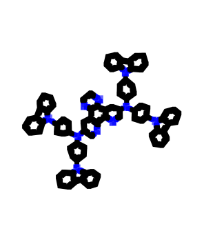 c1ccc2c(c1)c1ccccc1n2-c1ccc(N(c2ccc(-n3c4ccccc4c4ccccc43)cc2)c2cnc3c(c2)c2nccnc2c2cc(N(c4ccc(-n5c6ccccc6c6ccccc65)cc4)c4ccc(-n5c6ccccc6c6ccccc65)cc4)cnc23)cc1